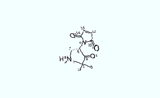 CC(C)(C)C(=O)[C@H](CN)N1C(=O)C=CC1=O